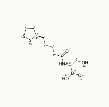 O=C(CCCC[C@@H]1CCSS1)NC(CO)B(O)O